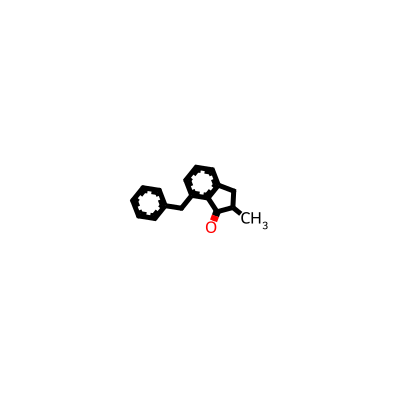 CC1Cc2cccc(Cc3ccccc3)c2C1=O